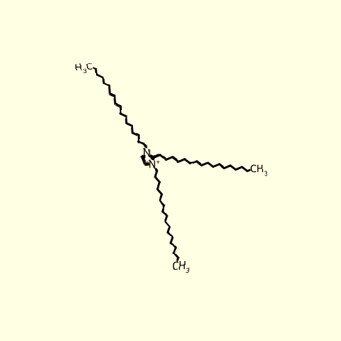 CCCCCCCCCCCCCCCCCCn1cc[n+](CCCCCCCCCCCCCCCCCC)c1CCCCCCCCCCCCCCCCC